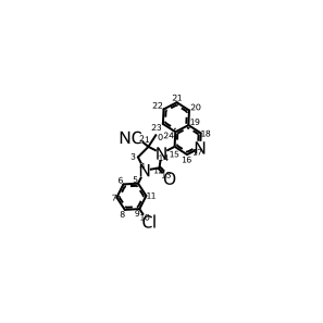 CC1(C#N)CN(c2cccc(Cl)c2)C(=O)N1c1cncc2ccccc12